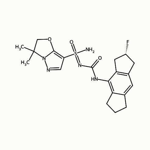 CC1(C)COc2c(S(N)(=O)=NC(=O)Nc3c4c(cc5c3C[C@H](F)C5)CCC4)cnn21